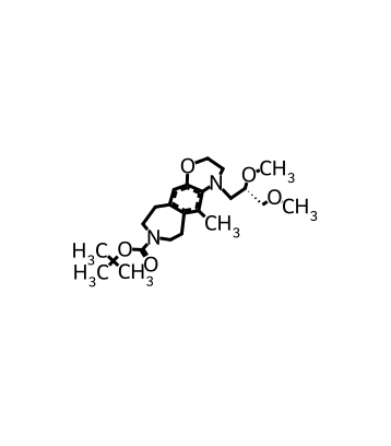 COC[C@H](CN1CCOc2cc3c(c(C)c21)CCN(C(=O)OC(C)(C)C)CC3)OC